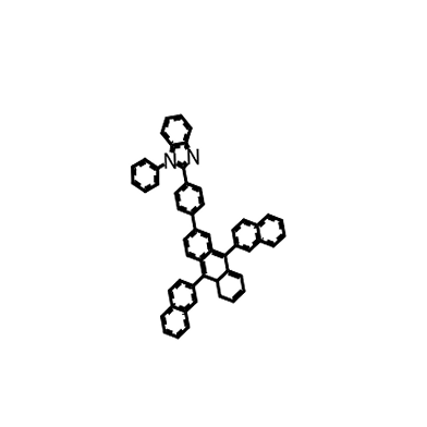 C1=CCC2C(=C1)C(c1ccc3ccccc3c1)=c1cc(-c3ccc(-c4nc5ccccc5n4-c4ccccc4)cc3)ccc1=C2c1ccc2ccccc2c1